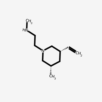 C=C[C@@H]1C[C@H](C)CN(CCNC)C1